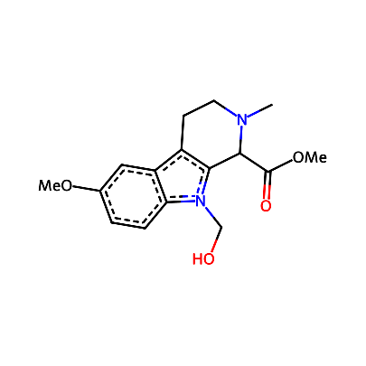 COC(=O)C1c2c(c3cc(OC)ccc3n2CO)CCN1C